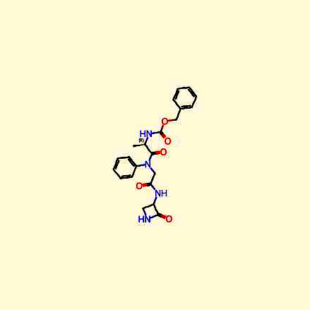 C[C@@H](NC(=O)OCc1ccccc1)C(=O)N(CC(=O)NC1CNC1=O)c1ccccc1